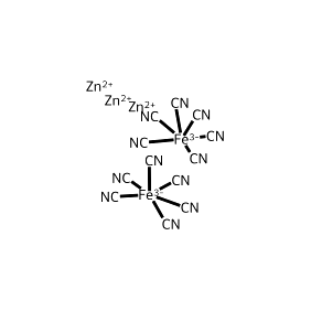 N#[C][Fe-3]([C]#N)([C]#N)([C]#N)([C]#N)[C]#N.N#[C][Fe-3]([C]#N)([C]#N)([C]#N)([C]#N)[C]#N.[Zn+2].[Zn+2].[Zn+2]